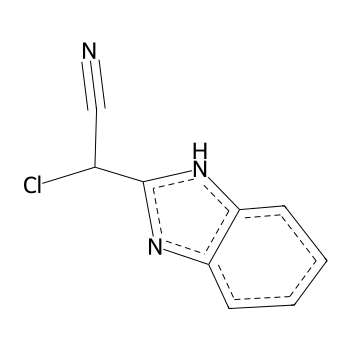 N#CC(Cl)c1nc2ccccc2[nH]1